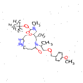 COc1ccc(COCC(C)N2C[C@H](C)C(CN(C)C(=O)OC(C)(C)C)OCc3cn(nn3)CCCC2=O)cc1